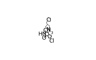 Cc1[nH]c(=O)c2cc(Cl)ccc2c1CN1CCC(Cc2ccccc2)CC1